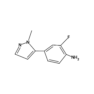 Cn1nccc1-c1ccc(N)c(F)c1